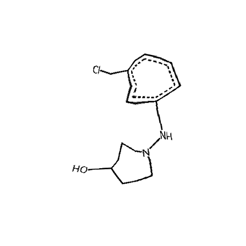 OC1CCN(Nc2cccc(Cl)c2)C1